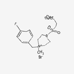 CCCCCCCCCCCS(=O)(=O)N1CC[N+](C)(Cc2ccc(F)cc2)CC1.[Br-]